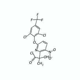 CC(O)(C(=O)Cl)c1nc(Oc2c(Cl)cc(C(F)(F)F)cc2Cl)ccc1[N+](=O)[O-]